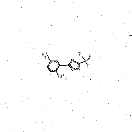 Cc1ccc(N)cc1-c1nc(C(F)(F)F)no1